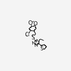 CCn1c(SCc2cc3c(cc2Cl)OCO3)nnc1-c1cccs1